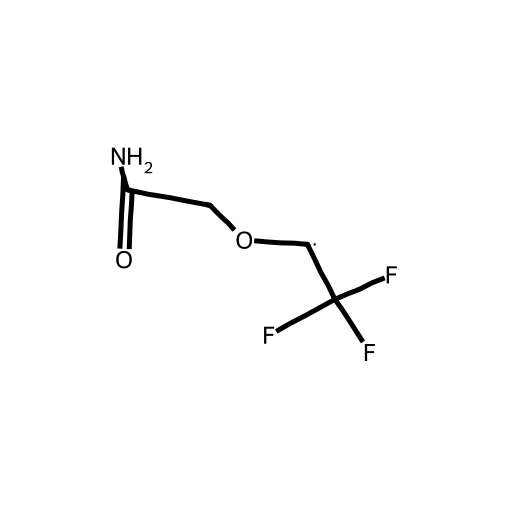 NC(=O)CO[CH]C(F)(F)F